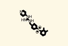 Cc1cccc(S(=O)(=O)c2ccc(CNC(=N)Nc3ccncc3)cc2)c1C